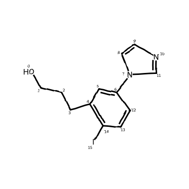 OCCCc1cc(-n2ccnc2)ccc1I